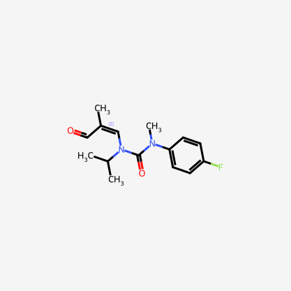 C/C(C=O)=C/N(C(=O)N(C)c1ccc(F)cc1)C(C)C